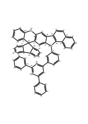 c1ccc(-c2cc(-c3cccc(-n4c5cc6c(cc5c5ccc7ccccc7c54)Oc4ccccc4C64c5ccccc5-c5ccccc54)c3)nc(-c3ccccc3)n2)cc1